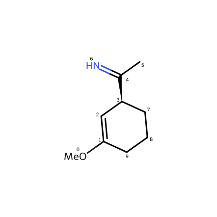 COC1=C[C@@H](C(C)=N)CCC1